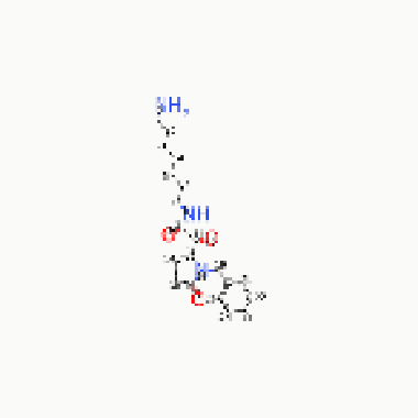 NCCCCCCCNC(=O)C(=O)C1CCC(=O)N1Cc1ccccc1